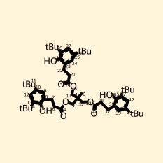 CC(COC(=O)CCc1cc(C(C)(C)C)cc(C(C)(C)C)c1O)(COC(=O)CCc1cc(C(C)(C)C)cc(C(C)(C)C)c1O)COC(=O)CCc1cc(C(C)(C)C)cc(C(C)(C)C)c1O